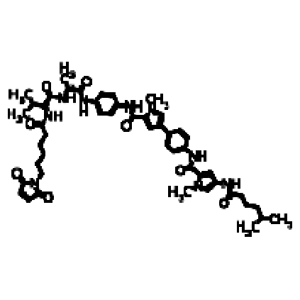 CC(C)CCCC(=O)Nc1cc(C(=O)Nc2ccc(-c3cc(C(=O)Nc4ccc(NC(=O)[C@H](C)NC(=O)[C@@H](NC(=O)CCCCCN5C(=O)C=CC5=O)C(C)C)cc4)n(C)c3)cc2)n(C)c1